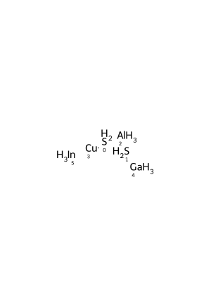 S.S.[AlH3].[Cu].[GaH3].[InH3]